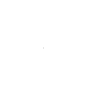 CC1CCN(C(C)C)O1